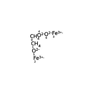 C.C.[Fe+3].[Fe+3].[O-2].[O-2].[O-2]